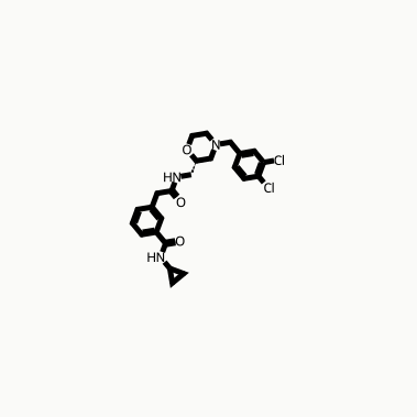 O=C(Cc1cccc(C(=O)NC2CC2)c1)NC[C@H]1CN(Cc2ccc(Cl)c(Cl)c2)CCO1